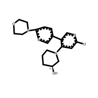 O[C@H]1CCCN(c2cc(Cl)ncc2-c2ccc(N3CCOCC3)nc2)C1